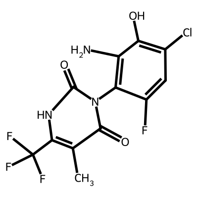 Cc1c(C(F)(F)F)[nH]c(=O)n(-c2c(F)cc(Cl)c(O)c2N)c1=O